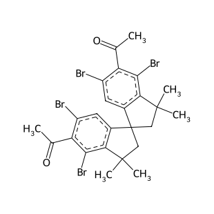 CC(=O)c1c(Br)cc2c(c1Br)C(C)(C)CC21CC(C)(C)c2c1cc(Br)c(C(C)=O)c2Br